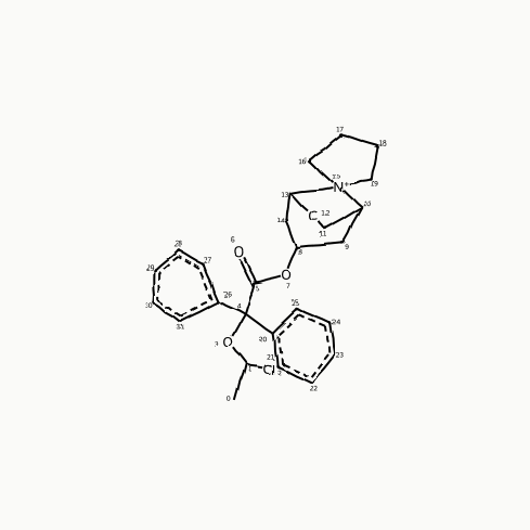 CC(Cl)OC(C(=O)OC1CC2CCC(C1)[N+]21CCCC1)(c1ccccc1)c1ccccc1